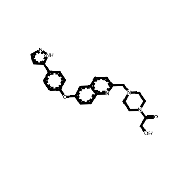 O=C(CO)N1CCN(Cc2ccc3cc(Oc4ccc(-c5ccn[nH]5)cc4)ccc3n2)CC1